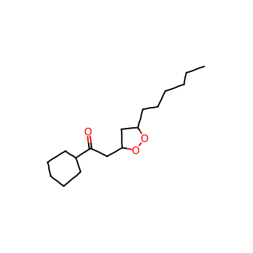 CCCCCCC1CC(CC(=O)C2CCCCC2)OO1